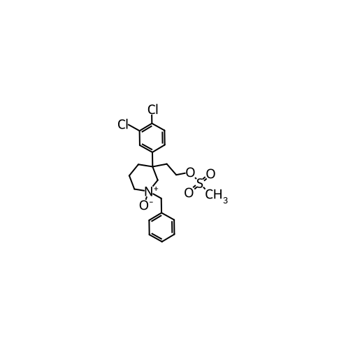 CS(=O)(=O)OCCC1(c2ccc(Cl)c(Cl)c2)CCC[N+]([O-])(Cc2ccccc2)C1